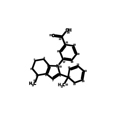 CC1CCCc2c1cc(C1(C)C=CC=CC1)n2-c1cccc(C(=O)O)c1